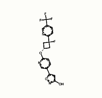 Oc1cc(-c2ccc(O[C@H]3C[C@@](F)(c4ccc(C(F)(F)F)cn4)C3)nc2)on1